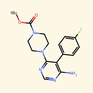 CC(C)(C)OC(=O)N1CCN(c2ncnc(N)c2-c2ccc(F)cc2)CC1